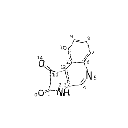 O=C1Nc2cnc3ccccc3c2C1=O